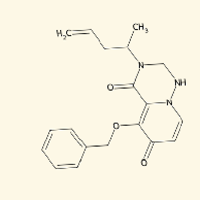 C=CCC(C)N1CNn2ccc(=O)c(OCc3ccccc3)c2C1=O